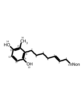 CCCCCCCCCCC=CCCCCc1c(O)ccc(O)c1C